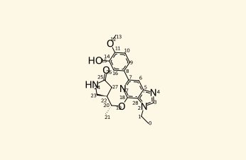 CCn1cnc2cc(-c3ccc(OC)c(O)c3)nc(O[C@H](C)[C@H]3CNC(=O)C3)c21